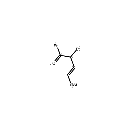 CCCCC=CC(CC)C(=O)CC